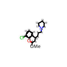 COC(=O)CC(CCCN1CCCCC1)c1cccc(Cl)c1